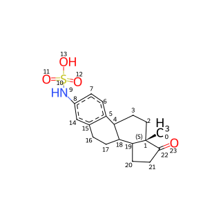 C[C@]12CCC3c4ccc(NS(=O)(=O)O)cc4CCC3C1CCC2=O